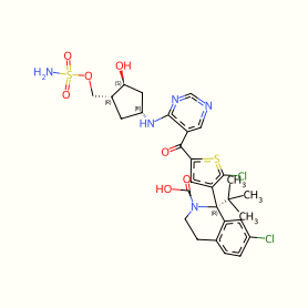 CC(C)(C)[C@]1(c2cc(C(=O)c3cncnc3N[C@@H]3C[C@H](COS(N)(=O)=O)[C@@H](O)C3)sc2Cl)c2cc(Cl)ccc2CCN1C(=O)O